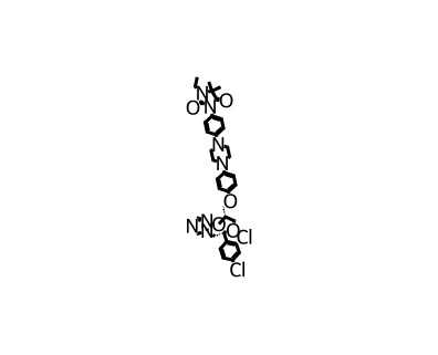 CCN1C(=O)N(c2ccc(N3CCN(c4ccc(OC[C@@H]5CO[C@@](Cn6cncn6)(c6ccc(Cl)cc6Cl)O5)cc4)CC3)cc2)C(=O)C1(C)C